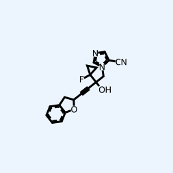 N#Cc1cncn1CC(O)(C#CC1Cc2ccccc2O1)C1(F)CC1